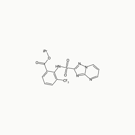 CC(C)OC(=O)c1cccc(C(F)(F)F)c1NS(=O)(=O)c1nc2ncccn2n1